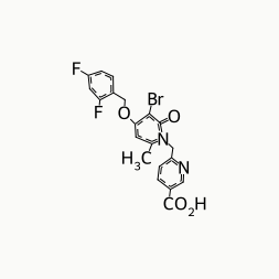 Cc1cc(OCc2ccc(F)cc2F)c(Br)c(=O)n1Cc1ccc(C(=O)O)cn1